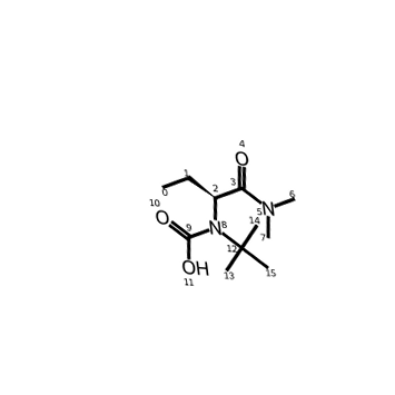 CC[C@@H](C(=O)N(C)C)N(C(=O)O)C(C)(C)C